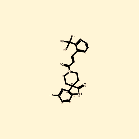 O=C(/C=C/c1ccccc1C(F)(F)F)N1CCC2(CC1)C(=O)Nc1ccc(F)cc12